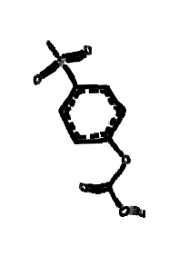 CC(C)[CH]OC(=O)Oc1ccc(S(C)(=O)=O)cc1